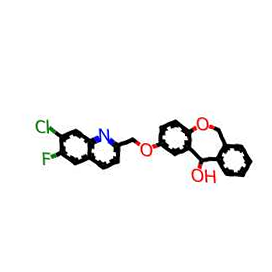 OC1c2ccccc2COc2ccc(OCc3ccc4cc(F)c(Cl)cc4n3)cc21